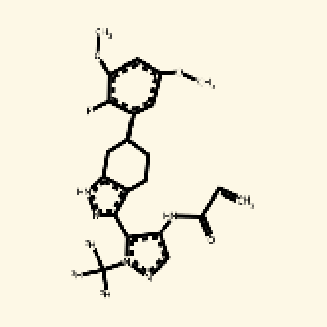 [2H]C([2H])([2H])n1ncc(NC(=O)C=C)c1-c1n[nH]c2c1CCC(c1cc(OC)cc(OC)c1F)C2